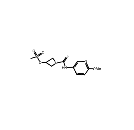 COc1ccc(NC(=S)N2CC(OS(C)(=O)=O)C2)cn1